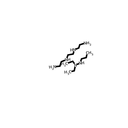 CCCNN(CC)CC.NCCNCCNCCN